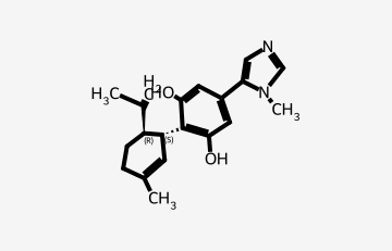 C=C(C)[C@@H]1CCC(C)=C[C@H]1c1c(O)cc(-c2cncn2C)cc1O